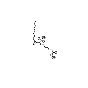 CCCCCCCCC1OC1C(CCCCCCC(=O)OO)S(=O)(=O)O